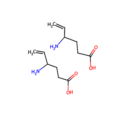 C=CC(N)CCC(=O)O.C=CC(N)CCC(=O)O